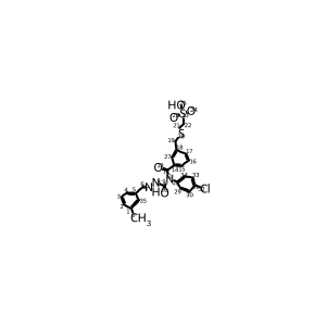 Cc1cccc(C=NNC(=O)N(C(=O)c2cccc(CSCCS(=O)(=O)O)c2)c2ccc(Cl)cc2)c1